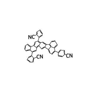 N#Cc1ccc(-c2ccc3c4c(cccc24)-c2cc4c(-c5ccccc5C#N)cc5c6ccccc6c(-c6ccccc6C#N)cc5c4cc2-3)cc1